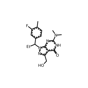 CCC(c1ccc(C)c(F)c1)n1nc(CO)c2c(=O)[nH]c(N(C)C)nc21